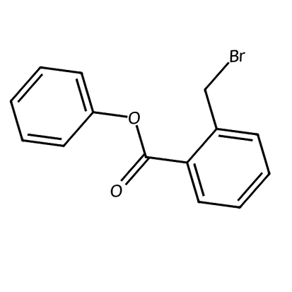 O=C(Oc1ccccc1)c1ccccc1CBr